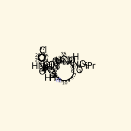 CC(C)OC(=O)N[C@H]1CCCCC/C=C\[C@@H]2C[C@@]2(C(=O)NS(=O)(=O)Nc2ccc(Cl)cc2)NC(=O)[C@@H]2CCCN2C1=O